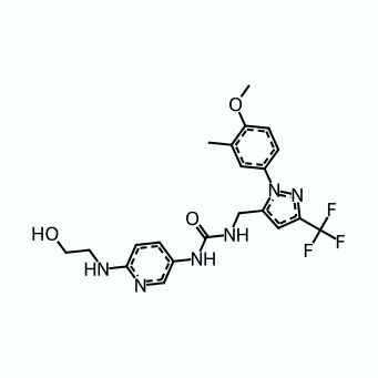 COc1ccc(-n2nc(C(F)(F)F)cc2CNC(=O)Nc2ccc(NCCO)nc2)cc1C